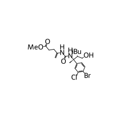 C=C(CCC(=O)OC)NC(=O)N[C@@](C)(c1ccc(Br)c(Cl)c1)C(CO)[C@@H](C)CC